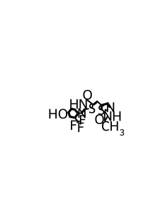 CC(=O)Nc1ncc(C=C2SC(=Nc3ccc(O)cc3C(F)(F)F)NC2=O)s1